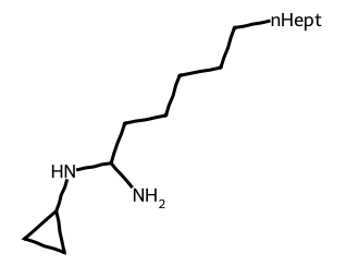 CCCCCCCCCCCCC(N)NC1CC1